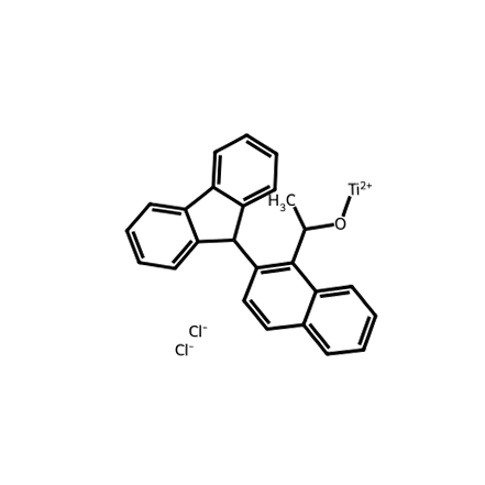 CC([O][Ti+2])c1c(C2c3ccccc3-c3ccccc32)ccc2ccccc12.[Cl-].[Cl-]